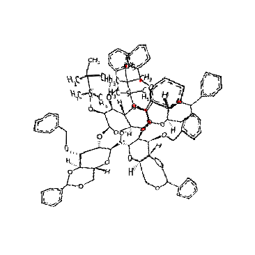 CC(C)(C)[Si](C)(C)O[C@@H]1[C@H](O[C@H]2[C@@H](OCc3ccccc3)[C@@H]3OC(c4ccccc4)OC[C@H]3O[C@@H]2[S+]([O-])[C@H]2O[C@@H]3COC(c4ccccc4)O[C@H]3[C@H](OCc3ccccc3)[C@@H]2O[C@@H]2O[C@@H]3COC(c4ccccc4)O[C@H]3[C@H](OCc3ccccc3)[C@@H]2O[Si](C)(C)C(C)(C)C)O[C@@H]2COC(c3ccccc3)O[C@H]2[C@@H]1OCc1ccccc1